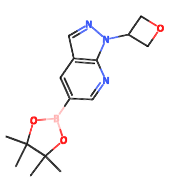 CC1(C)OB(c2cnc3c(cnn3C3COC3)c2)OC1(C)C